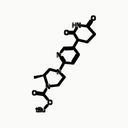 C[C@H]1CN(c2ccc(C3CCC(=O)NC3=O)cn2)CCN1C(=O)OC(C)(C)C